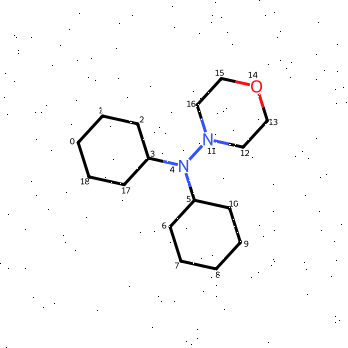 C1CCC(N(C2CCCCC2)N2CCOCC2)CC1